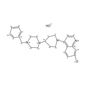 Cl.Clc1ccc2c(N3CCC(N4CCN(Cc5ccccc5)CC4)CC3)ccnc2c1